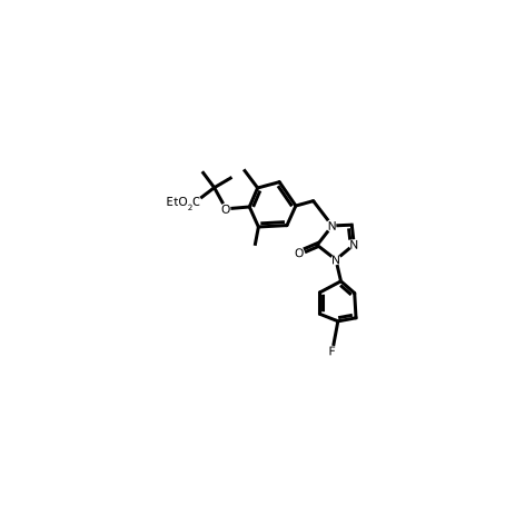 CCOC(=O)C(C)(C)Oc1c(C)cc(Cn2cnn(-c3ccc(F)cc3)c2=O)cc1C